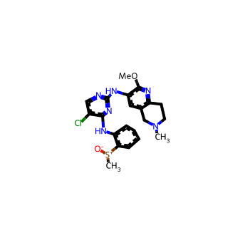 COc1nc2c(cc1Nc1ncc(Cl)c(Nc3ccccc3[S+](C)[O-])n1)CN(C)CC2